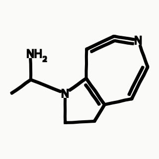 CC(N)N1CCC2=C1C=C=NC=C2